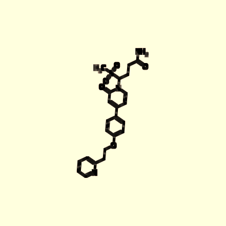 CS(=O)(=O)C(CCC(N)=O)n1ccc(-c2ccc(OCCc3ccccn3)cc2)cc1=O